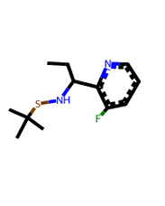 CCC(NSC(C)(C)C)c1ncccc1F